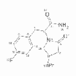 CCCC1CC(=O)N(C(Cc2ccc(F)cc2)C(N)=O)C1